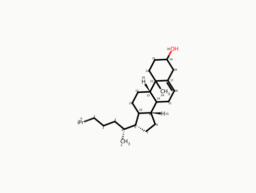 CC(C)CCC[C@@H](C)[C@H]1CC[C@@H]2C1CC[C@H]1C2CC=C2CC(O)CCC21C